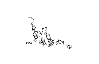 CCC(CC)(CCO[PH](=O)OCCC(CC)(CC)SC(CC(=O)c1ccc(OCCCO)cc1)c1ccc(OCCCO)cc1)SC(CC(=O)c1ccc(OCCCO)cc1)c1ccc(OCCCO)cc1